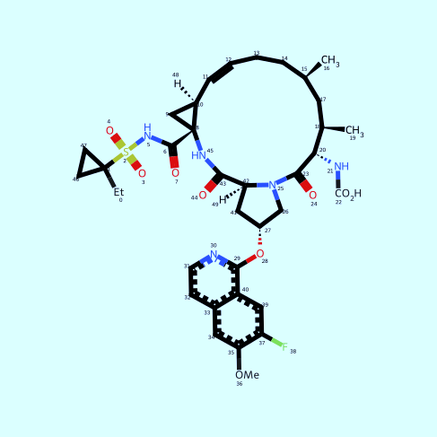 CCC1(S(=O)(=O)NC(=O)[C@@]23C[C@H]2/C=C\CC[C@@H](C)C[C@@H](C)[C@H](NC(=O)O)C(=O)N2C[C@H](Oc4nccc5cc(OC)c(F)cc45)C[C@H]2C(=O)N3)CC1